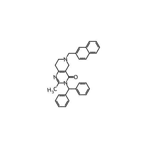 Cc1nc2c(c(=O)n1C(c1ccccc1)c1ccccc1)CN(Cc1ccc3ccccc3c1)CC2